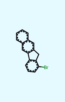 Brc1cccc2c1Cc1cc3ccccc3cc1-2